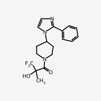 CC(O)(C(=O)N1CCC(n2ccnc2-c2ccccc2)CC1)C(F)(F)F